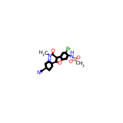 CNC(=O)c1c(-c2ccc(C#N)cc2)oc2cc(NS(C)(=O)=O)c(Br)cc12